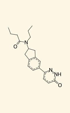 CCCC(=O)N(CCC)C1Cc2ccc(-c3ccc(=O)[nH]n3)cc2C1